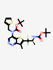 Cc1c(C(F)(F)[C@H](C)NC(=O)OC(C)(C)C)sc2c(N(Cc3cccs3)C(=O)OC(C)(C)C)cnnc12